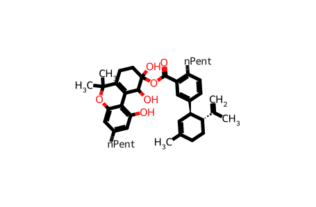 C=C(C)[C@@H]1CCC(C)=C[C@H]1c1ccc(CCCCC)c(C(=O)OC2(O)CCC3=C(c4c(O)cc(CCCCC)cc4OC3(C)C)C2O)c1